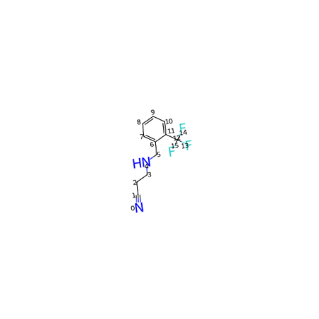 N#CCCNCc1ccccc1C(F)(F)F